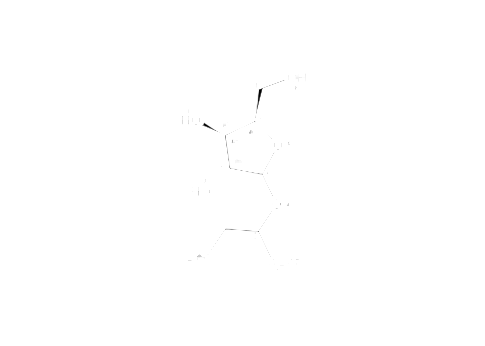 CCCCCCCCCCCC(CCCCCCCC)OC1O[C@H](CO)[C@H](O)[C@H]1O